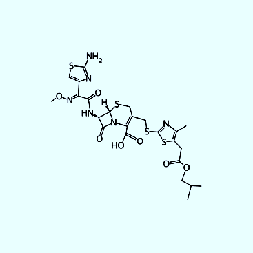 CON=C(C(=O)N[C@@H]1C(=O)N2C(C(=O)O)=C(CSc3nc(C)c(CC(=O)OCC(C)C)s3)CS[C@@H]12)c1csc(N)n1